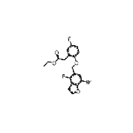 CCOC(=O)Cc1cc(F)ccc1OCc1cc(Br)c2occc2c1F